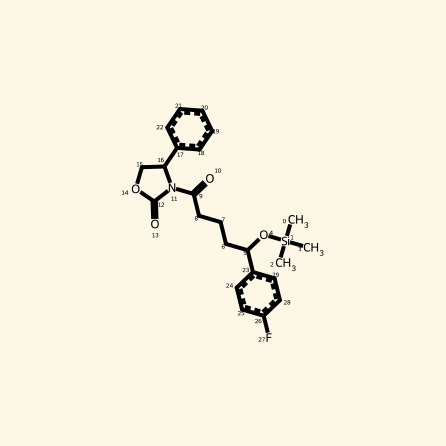 C[Si](C)(C)OC(CCCC(=O)N1C(=O)OCC1c1ccccc1)c1ccc(F)cc1